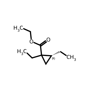 CCOC(=O)C1(CC)C[C@H]1CC